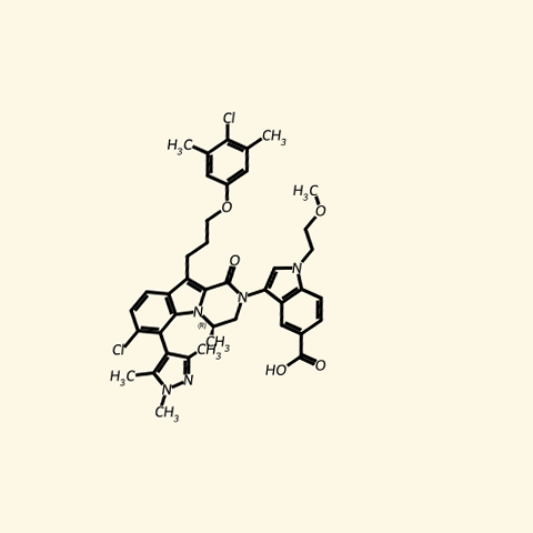 COCCn1cc(N2C[C@@H](C)n3c(c(CCCOc4cc(C)c(Cl)c(C)c4)c4ccc(Cl)c(-c5c(C)nn(C)c5C)c43)C2=O)c2cc(C(=O)O)ccc21